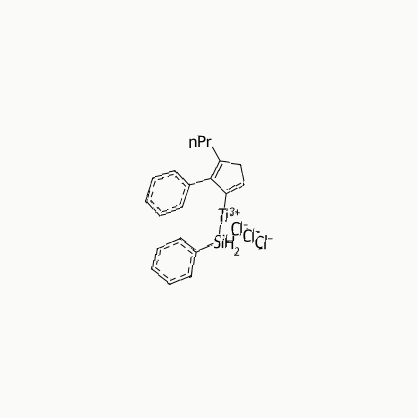 CCCC1=C(c2ccccc2)[C]([Ti+3][SiH2]c2ccccc2)=CC1.[Cl-].[Cl-].[Cl-]